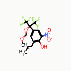 CCCc1cc(C(OCOC)(C(F)(F)F)C(F)(F)F)cc([N+](=O)[O-])c1O